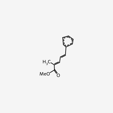 COC(=O)/C(C)=C/C=C/c1ccccc1